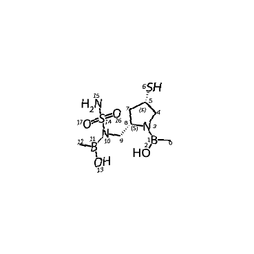 CB(O)N1C[C@@H](S)C[C@H]1CN(B(C)O)S(N)(=O)=O